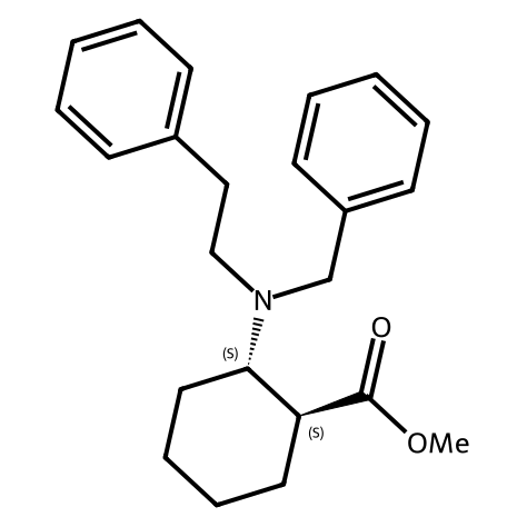 COC(=O)[C@H]1CCCC[C@@H]1N(CCc1ccccc1)Cc1ccccc1